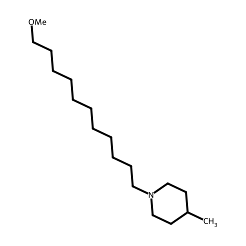 COCCCCCCCCCCCN1CCC(C)CC1